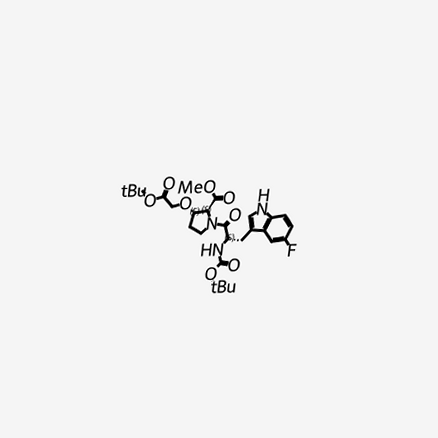 COC(=O)[C@@H]1[C@@H](OCC(=O)OC(C)(C)C)CCN1C(=O)[C@H](Cc1c[nH]c2ccc(F)cc12)NC(=O)OC(C)(C)C